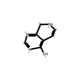 Oc1ncnc2c1C=CNC2